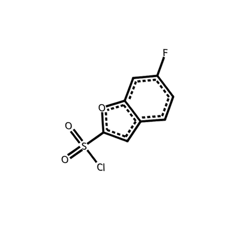 O=S(=O)(Cl)c1cc2ccc(F)cc2o1